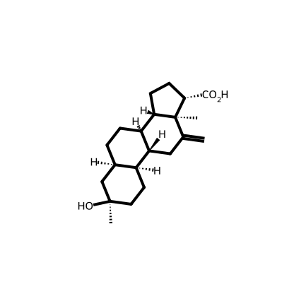 C=C1C[C@H]2[C@@H](CC[C@@H]3C[C@](C)(O)CC[C@@H]32)[C@@H]2CC[C@H](C(=O)O)[C@@]12C